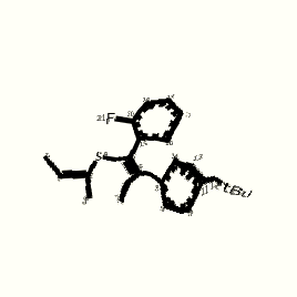 C/C=C(/C)S/C(=C(\C)c1ccc(C(C)(C)C)cc1)c1ccccc1F